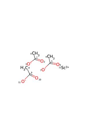 CC(=O)[O-].CC(=O)[O-].CC(=O)[O-].[Sc+3]